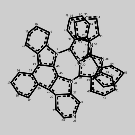 c1ccc(-c2nc(-n3c4ccccc4c4c5ccccc5c5c6ccncc6n(-c6nc(-c7ccccc7)nc7ccccc67)c5c43)c3ccccc3n2)cc1